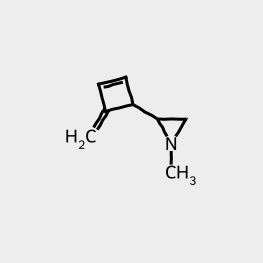 C=C1C=CC1C1CN1C